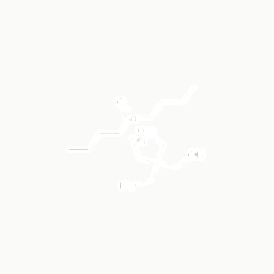 CCC[CH2][Sn](=[O])[CH2]CCC.OCC(CO)(CO)CO